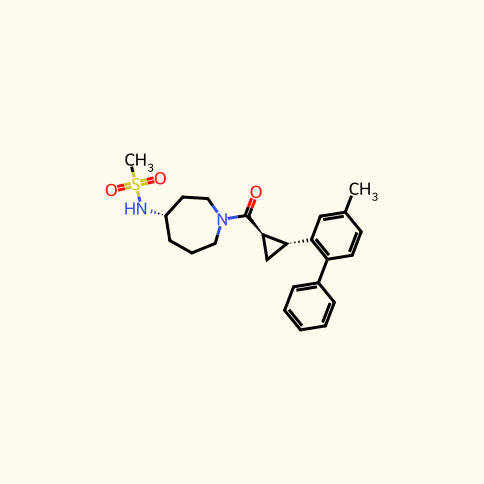 Cc1ccc(-c2ccccc2)c([C@@H]2C[C@H]2C(=O)N2CCC[C@H](NS(C)(=O)=O)CC2)c1